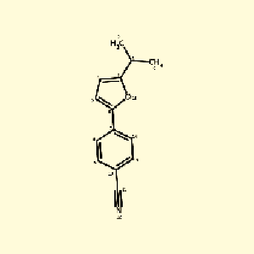 CC(C)c1ccc(-c2ccc(C#N)cc2)o1